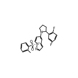 Cc1ccccc1S(=O)(=O)[N@+]12C=CC(N3CCCC3c3cc(F)ccc3F)=CC1=CC=N2